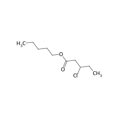 CCCCCOC(=O)CC(Cl)CC